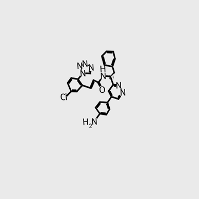 Nc1ccc(-c2cnnc([C@H](Cc3ccccc3)NC(=O)C=Cc3cc(Cl)ccc3-n3cnnn3)c2)cc1